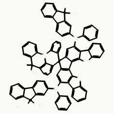 CC1(C)c2ccccc2-c2ccc(N(c3ccccc3)c3cc4c(c5oc6ccccc6c35)-c3c(cc(N(c5ccccc5)c5ccc6c(c5)C(C)(C)c5ccccc5-6)c5c3oc3ccccc35)C43c4ccccc4N4c5ccccc5C(C)(C)c5cccc3c54)cc21